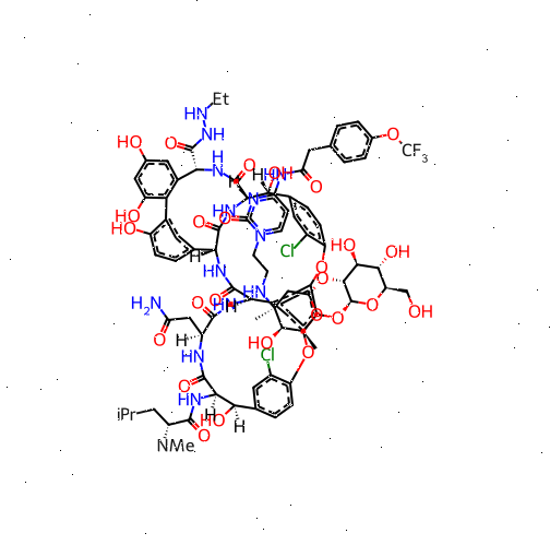 CCNNC(=O)[C@@H]1NC(=O)[C@H]2NC(=O)[C@H](NC(=O)[C@@H]3NC(=O)[C@H](CC(N)=O)NC(=O)[C@H](NC(=O)[C@@H](CC(C)C)NC)[C@H](O)c4ccc(c(Cl)c4)Oc4cc3cc(c4O[C@@H]3O[C@H](CO)[C@@H](O)[C@H](O)[C@H]3O[C@H]3C[C@](C)(NCCn4ccc(NC(=O)Cc5ccc(OC(F)(F)F)cc5)nc4=O)[C@H](O)[C@H](C)O3)Oc3ccc(cc3Cl)[C@H]2O)c2ccc(O)c(c2)-c2c(O)cc(O)cc21